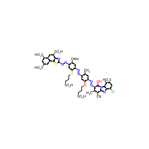 COc1cc(N=Nc2cc(OCCCS(=O)(=O)O)c(N=Nc3c(C)c(C#N)c4nc5c(Cl)ccc(S(=O)(=O)O)c5n4c3O)cc2C)c(SCCCS(=O)(=O)O)cc1N=Nc1nc2c(S(=O)(=O)O)cc3c(S(=O)(=O)O)cc(S(=O)(=O)O)cc3c2s1